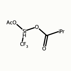 CC(=O)O[SiH](OC(=O)C(C)C)C(F)(F)F